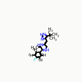 [2H]c1c([2H])c(C2NC/C(=C/c3nc[nH]c3C(C)(C)C)NC2=C)c([2H])c([2H])c1F